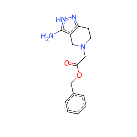 Nc1[nH]nc2c1CN(CC(=O)OCc1ccccc1)CC2